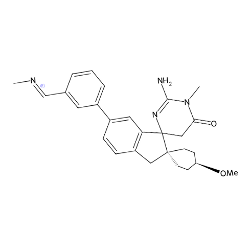 C/N=C/c1cccc(-c2ccc3c(c2)C2(CC(=O)N(C)C(N)=N2)[C@]2(CC[C@H](OC)CC2)C3)c1